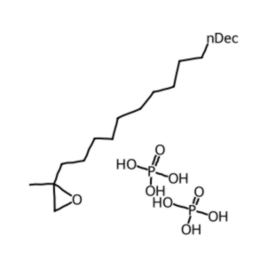 CCCCCCCCCCCCCCCCCCCCC1(C)CO1.O=P(O)(O)O.O=P(O)(O)O